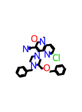 Cn1c(=O)c(C#N)c(N2CCN(Cc3ccccc3)C(COCc3ccccc3)C2)c2nc(Cl)ccc21